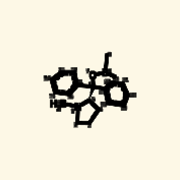 BN1CCC[C@H]1C(OB(C)C)(c1ccccc1)c1ccccc1